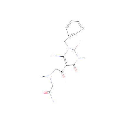 CCN1C(=O)C(C(=O)CN(CC(N)=O)C(C)(C)C)=C(N)N(Cc2ccccc2)C1O